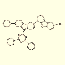 CCCCc1ccc2oc3c(-c4ccc5c(c4)c4ccc(-c6ccccc6)cc4n5-c4nc(-c5ccccc5)nc(-c5ccccc5)n4)cccc3c2c1